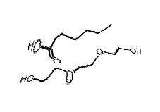 CCCCCC(=O)O.OCCOCCOCCO